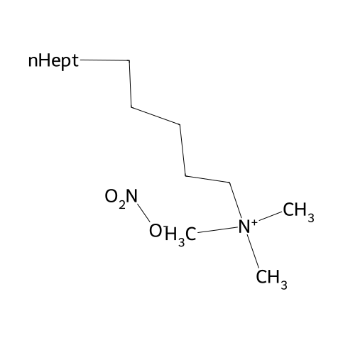 CCCCCCCCCCCC[N+](C)(C)C.O=[N+]([O-])[O-]